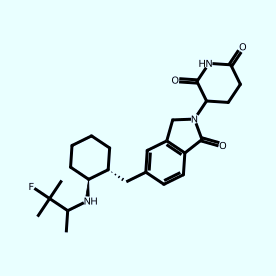 CC(N[C@H]1CCCC[C@@H]1Cc1ccc2c(c1)CN(C1CCC(=O)NC1=O)C2=O)C(C)(C)F